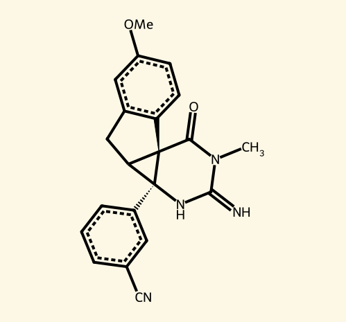 COc1ccc2c(c1)CC1[C@]3(c4cccc(C#N)c4)NC(=N)N(C)C(=O)[C@@]213